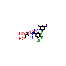 Cc1cc(I)ccc1Nc1c(C(=O)NOC(C)(C)C(O)CO)cc(Br)c(F)c1F